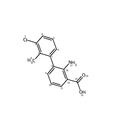 Cc1c(Cl)cccc1-c1cccc(C(=O)O)c1N